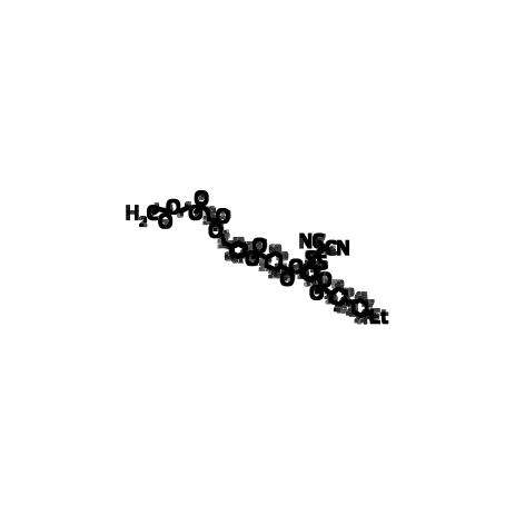 C=CC(=O)OCCOC(=O)CCC(=O)OCCc1ccc(OC(=O)C2CCC(C(=O)Oc3ccc(OC(=O)C4CCC(C5CCC(CC)CC5)CC4)c4c3SC(=C(C#N)C#N)S4)CC2)cc1